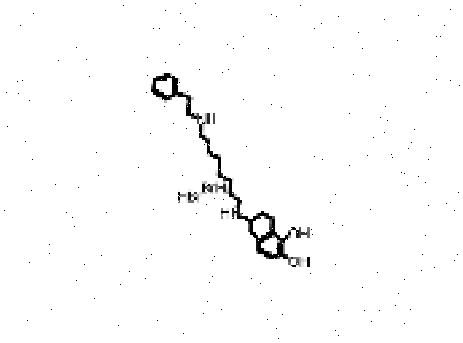 Br.Br.Oc1ccc2c(c1O)CCC(NCCCCCCCCNCCc1ccccc1)C2